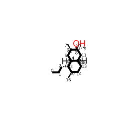 CCC[C@@H]1[C@H]2C[C@@H](C)[C@@](C)(O)C[C@@H]2CC[C@H]1C